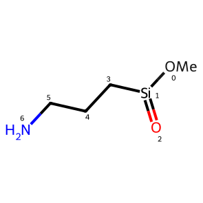 CO[Si](=O)CCCN